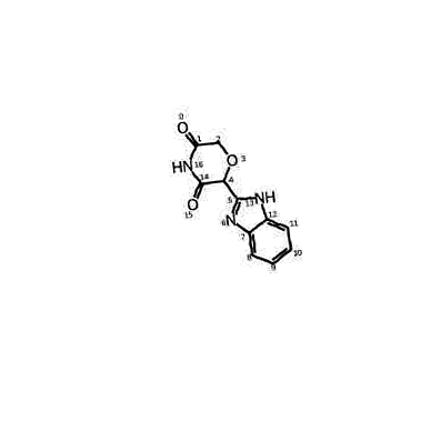 O=C1COC(c2nc3ccccc3[nH]2)C(=O)N1